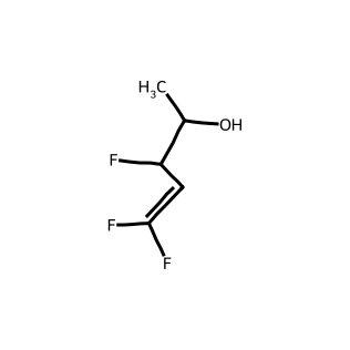 CC(O)C(F)C=C(F)F